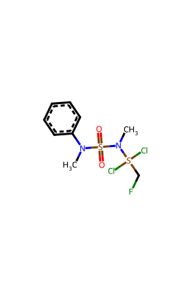 CN(c1ccccc1)S(=O)(=O)N(C)S(Cl)(Cl)CF